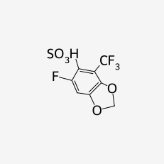 O=S(=O)(O)c1c(F)cc2c(c1C(F)(F)F)OCO2